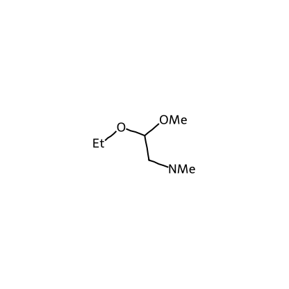 CCOC(CNC)OC